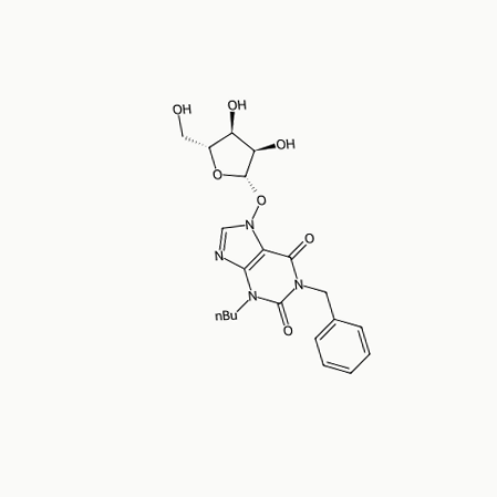 CCCCn1c(=O)n(Cc2ccccc2)c(=O)c2c1ncn2O[C@@H]1O[C@H](CO)[C@@H](O)[C@H]1O